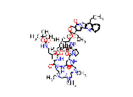 CCc1c2c(nc3ccccc13)-c1cc3c(c(=O)n1C2)COC(=O)[C@@]3(CC)OC(=O)[C@@H](NC(=O)[C@@H]1CCCN1C(=O)[C@H](CC(N)=O)NC(=O)CN(C)CCN(C)CCN(C)CCNC(=O)[C@H](CCCCNC(=O)OC(C)(C)C)NC(=O)OC(C)(C)C)C(C)C